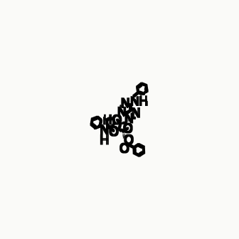 O=C(Nc1ccccc1)OC1C(O)[C@H](n2cnc3c(NCc4ccccc4)ncnc32)O[C@@H]1COC(=O)c1ccccc1